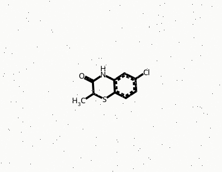 CC1Sc2ccc(Cl)cc2NC1=O